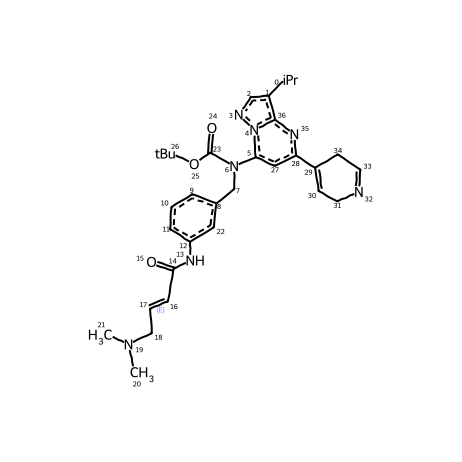 CC(C)c1cnn2c(N(Cc3cccc(NC(=O)/C=C/CN(C)C)c3)C(=O)OC(C)(C)C)cc(C3=CCN=CC3)nc12